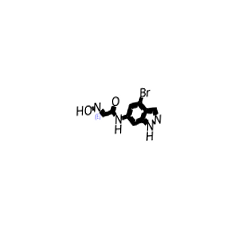 O=C(/C=N/O)Nc1cc(Br)c2cn[nH]c2c1